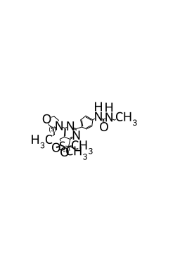 CCNC(=O)Nc1ccc(-c2nc(N3CCOC[C@@H]3CC)c3c(n2)C(C)(C)S(=O)(=O)C3)cc1